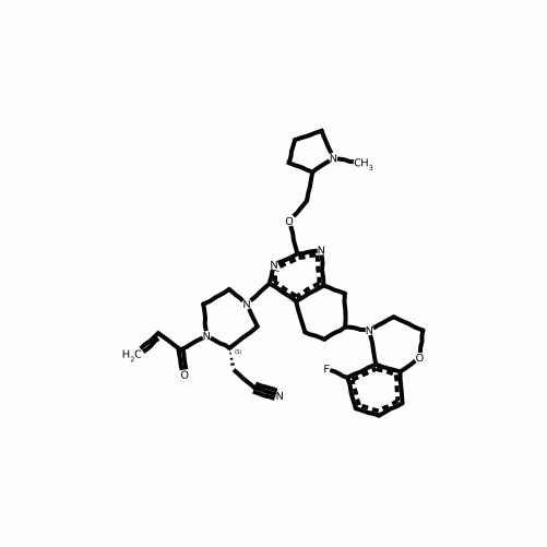 C=CC(=O)N1CCN(c2nc(OCC3CCCN3C)nc3c2CCC(N2CCOc4cccc(F)c42)C3)C[C@@H]1CC#N